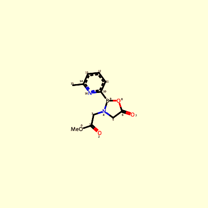 COC(=O)CN1CC(=O)OB1c1cccc(C)n1